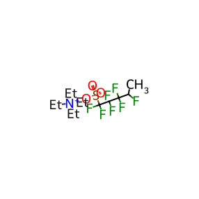 CC(F)C(F)(F)C(F)(F)C(F)(F)S(=O)(=O)[O-].CC[N+](CC)(CC)CC